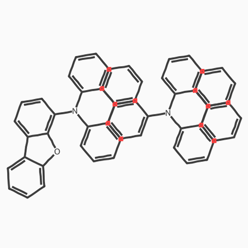 c1ccc(-c2ccccc2N(c2cccc(-c3ccccc3N(c3ccccc3-c3ccccc3)c3cccc4c3oc3ccccc34)c2)c2ccccc2-c2ccccc2)cc1